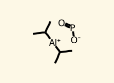 C[CH](C)[Al+][CH](C)C.O=P[O-]